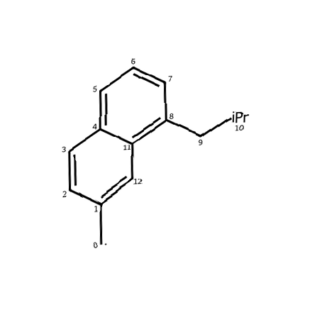 [CH2]c1ccc2cccc(CC(C)C)c2c1